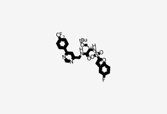 CC(C)(C)OC[C@H](NS(=O)(=O)c1cc2cc(F)ccc2o1)C(=O)NCc1cc(-c2ccc(C(F)(F)F)cc2)ncn1